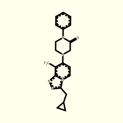 O=C1CN(c2ccn3c(CC4CC4)nnc3c2C(F)(F)F)CCN1c1ccccc1